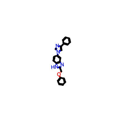 c1ccc(OCc2nc3cc(-n4cnc(-c5ccccc5)c4)ccc3[nH]2)cc1